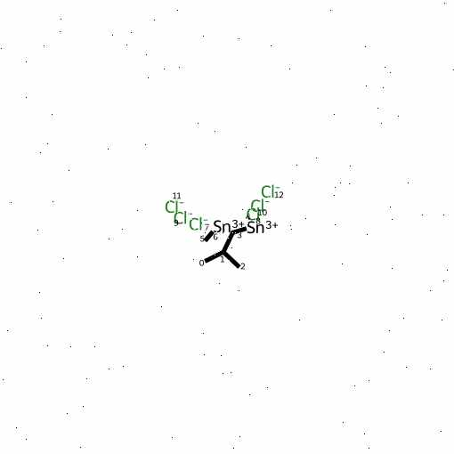 CC(C)[CH2][Sn+3].[CH3][Sn+3].[Cl-].[Cl-].[Cl-].[Cl-].[Cl-].[Cl-]